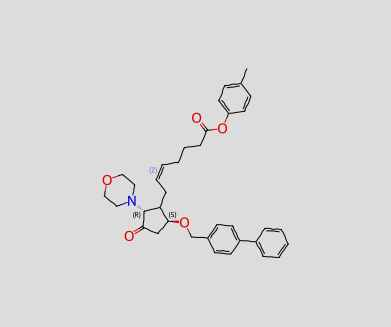 Cc1ccc(OC(=O)CCC/C=C\CC2[C@@H](OCc3ccc(-c4ccccc4)cc3)CC(=O)[C@@H]2N2CCOCC2)cc1